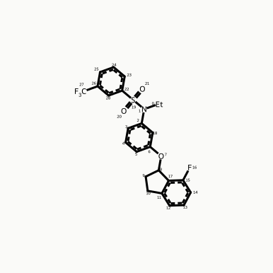 CCN(c1cccc(OC2CCc3cccc(F)c32)c1)S(=O)(=O)c1cccc(C(F)(F)F)c1